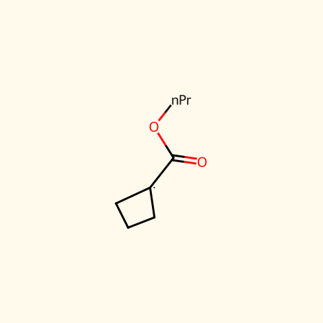 CCCOC(=O)[C]1CCC1